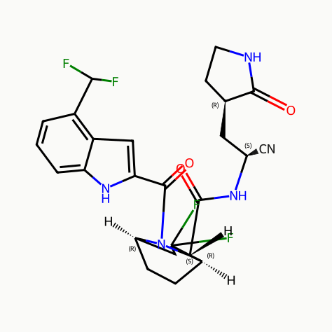 N#C[C@H](C[C@H]1CCNC1=O)NC(=O)[C@@H]1[C@H]2CC[C@H](CC2(F)F)N1C(=O)c1cc2c(C(F)F)cccc2[nH]1